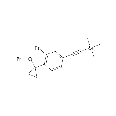 CCc1cc(C#C[Si](C)(C)C)ccc1C1(OC(C)C)CC1